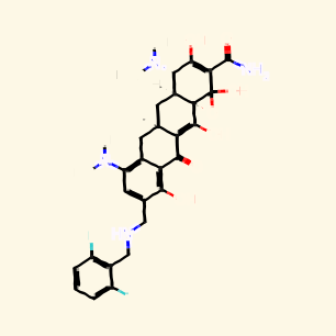 CN(C)c1cc(CNCc2c(F)cccc2F)c(O)c2c1C[C@H]1C[C@H]3[C@H](N(C)C)C(O)=C(C(N)=O)C4(O)O[C@]34C(O)=C1C2=O